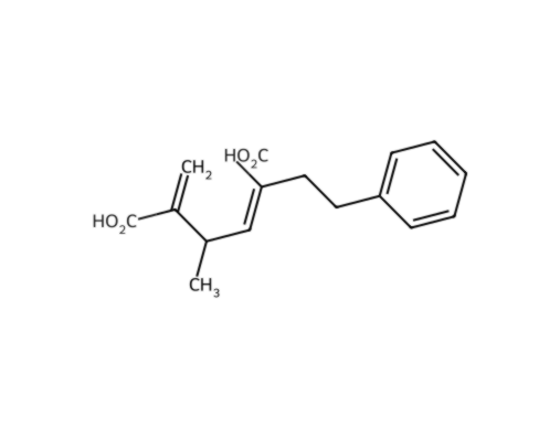 C=C(C(=O)O)C(C)C=C(CCc1ccccc1)C(=O)O